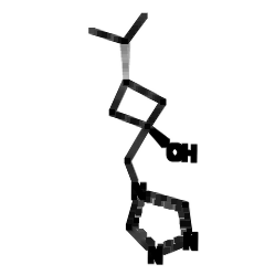 CC(C)[C@H]1C[C@@](O)(Cn2cnnc2)C1